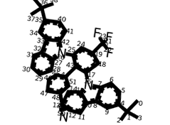 CC(C)(C)c1ccc2c(c1)c1ccccc1n2-c1cc(C(F)(F)F)cc(-n2c3ccccc3c3cc(C(C)(C)C)ccc32)c1-c1cccc(C#N)c1